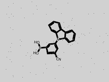 N#Cc1cc(B(O)O)cc(-n2c3ccccc3c3ccccc32)c1